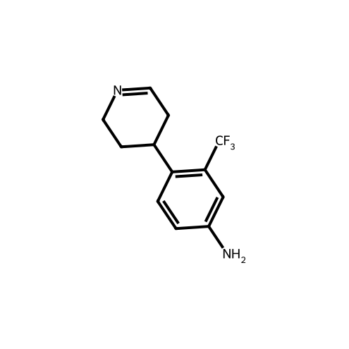 Nc1ccc(C2CC=NCC2)c(C(F)(F)F)c1